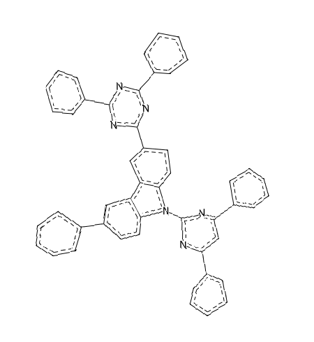 c1ccc(-c2ccc3c(c2)c2cc(-c4nc(-c5ccccc5)nc(-c5ccccc5)n4)ccc2n3-c2nc(-c3ccccc3)cc(-c3ccccc3)n2)cc1